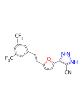 N#Cc1[nH]nnc1-c1ccc(/C=C/c2cc(C(F)(F)F)cc(C(F)(F)F)c2)o1